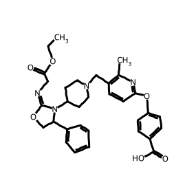 CCOC(=O)CN=C1OCC(c2ccccc2)N1C1CCN(Cc2ccc(Oc3ccc(C(=O)O)cc3)nc2C)CC1